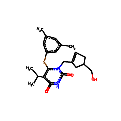 Cc1cc(C)cc(Sc2c(C(C)C)c(=O)[nH]c(=O)n2CC2=CCC(CO)C2)c1